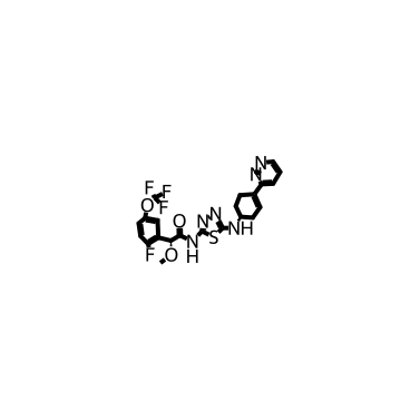 CO[C@@H](C(=O)Nc1nnc(N[C@@H]2CC=C(c3cccnn3)CC2)s1)c1cc(OC(F)(F)F)ccc1F